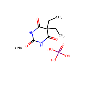 CCC1(CC)C(=O)NC(=O)NC1=O.O=P(O)(O)O.[NaH]